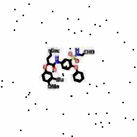 CCCCCCCCCCCCC(Oc1ccc(OC)c(C(C)(C)C)c1)C(=O)Nc1ccc(Oc2ccccc2)c(S(=O)(=O)NCC=O)c1